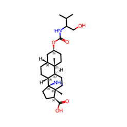 CC(C)C(CO)NC(=O)O[C@H]1CC[C@@]2(C)[C@H](CC[C@@H]3[C@@H]2CC[C@]2(C)[C@@H](C(=O)O)CC[C@]32N)C1